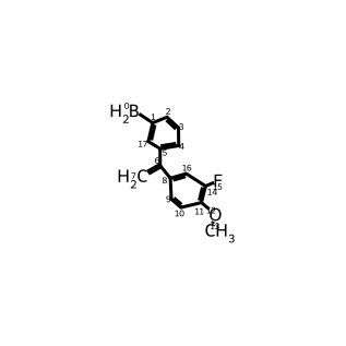 Bc1cccc(C(=C)c2ccc(OC)c(F)c2)c1